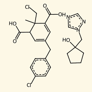 CC1(CCl)C(C(=O)O)=CC(Cc2ccc(Cl)cc2)=CC1C(=O)O.OC1(Cn2cncn2)CCCC1